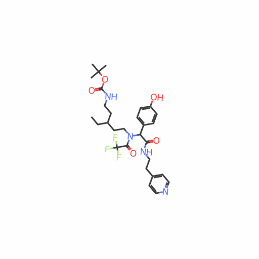 CCC(CCNC(=O)OC(C)(C)C)CCN(C(=O)C(F)(F)F)C(C(=O)NCCc1ccncc1)c1ccc(O)cc1